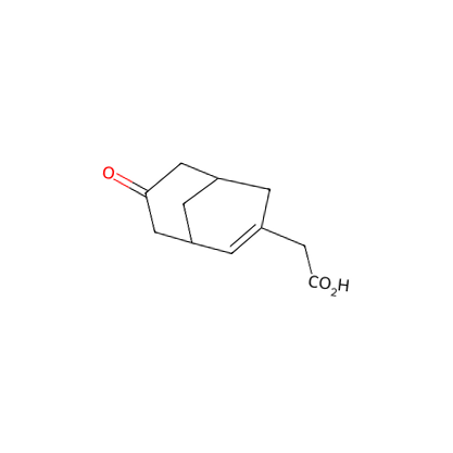 O=C(O)CC1=CC2CC(=O)CC(C1)C2